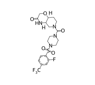 O=C1CO[C@H]2CCN(C(=O)N3CCN(S(=O)(=O)c4ccc(C(F)(F)F)cc4F)CC3)C[C@H]2N1